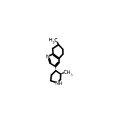 CC1CCc2cc([C@H]3CCNC[C@@H]3C)cnc2C1